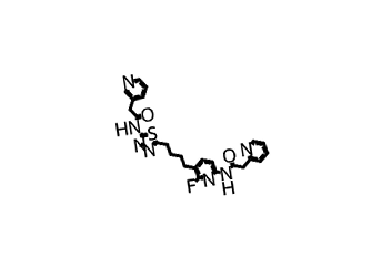 O=C(Cc1ccccn1)Nc1ccc(CCCCc2nnc(NC(=O)Cc3cccnc3)s2)c(F)n1